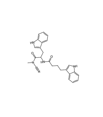 CN(C#N)C(=O)C(Cc1c[nH]c2ccccc12)NC(=O)CCCc1c[nH]c2ccccc12